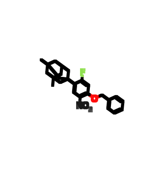 CC12CC3CC(C)(C1)CC(c1cc([N+](=O)[O-])c(OCc4ccccc4)cc1F)(C3)C2